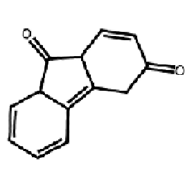 O=C1C=CC2C(=O)C3C=CC=CC3=C2C1